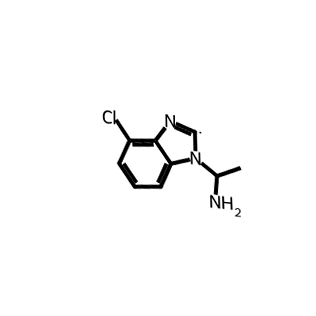 CC(N)n1[c]nc2c(Cl)cccc21